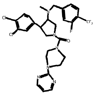 CN(Cc1ccc(C(F)(F)F)c(F)c1)C1CN(C(=O)N2CCN(c3ncccn3)CC2)CC1c1ccc(Cl)c(Cl)c1